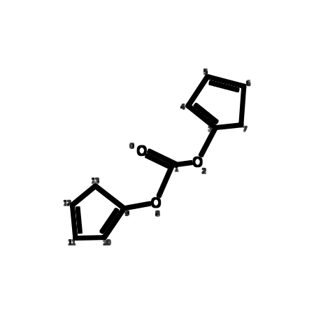 O=C(OC1=CC=CC1)OC1=CC=CC1